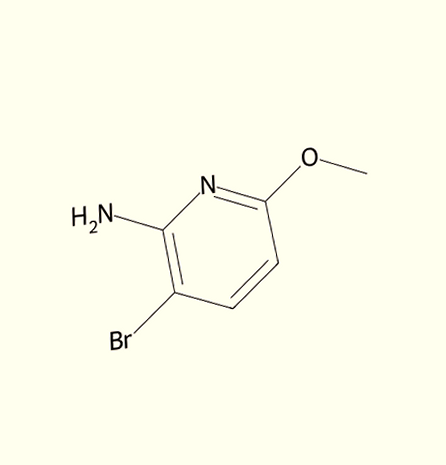 COc1ccc(Br)c(N)n1